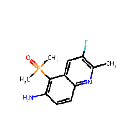 Cc1nc2ccc(N)c(P(C)(C)=O)c2cc1F